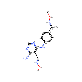 CON=Cc1c(N)ncnc1Nc1ccc(C(C)=NOC)cc1